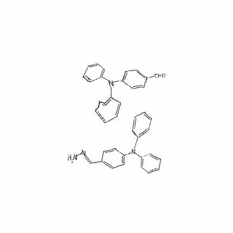 NN=Cc1ccc(N(c2ccccc2)c2ccccc2)cc1.O=Cc1ccc(N(c2ccccc2)c2ccccc2)cc1